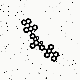 c1ccc2c(-c3c4ccccc4c(-c4ccc5c(c4)oc4c6oc7cc(-c8c9ccccc9c(-c9cccc%10ccccc9%10)c9ccccc89)ccc7c6c6ccccc6c54)c4ccccc34)cccc2c1